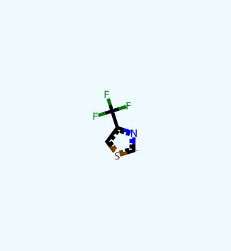 FC(F)(F)c1cs[c]n1